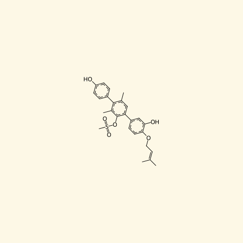 CC(C)=CCOc1ccc(-c2cc(C)c(-c3ccc(O)cc3)c(C)c2OS(C)(=O)=O)cc1O